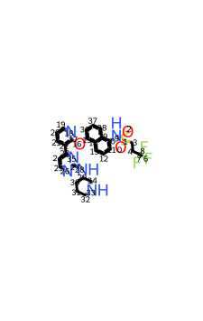 O=S(=O)(CCC(F)(F)F)Nc1cccc2c(Oc3ncccc3-c3ccnc(N[C@H]4CCCNC4)n3)cccc12